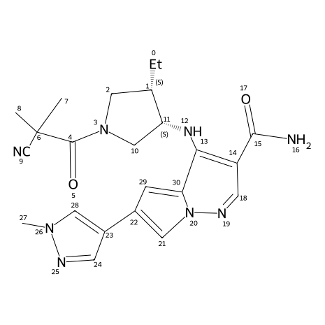 CC[C@H]1CN(C(=O)C(C)(C)C#N)C[C@H]1Nc1c(C(N)=O)cnn2cc(-c3cnn(C)c3)cc12